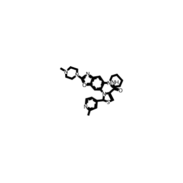 Cc1cc(C2SC=C(C(N)=O)N2c2cc3oc(N4CCN(C)CC4)nc3cc2N2CCCCC2)ccn1